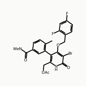 CNC(=O)c1ccc(C)c(-c2c(COC(C)=O)[nH]c(=O)c(Br)c2OCc2ccc(F)cc2F)c1